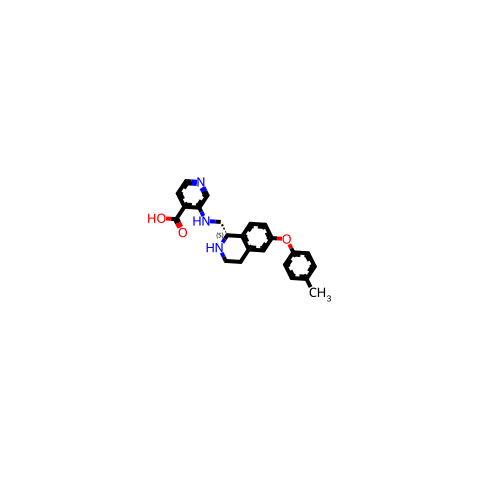 Cc1ccc(Oc2ccc3c(c2)CCN[C@@H]3CNc2cnccc2C(=O)O)cc1